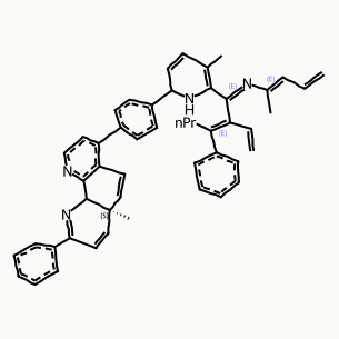 C=C/C=C(C)/N=C(C1=C(C)C=CC(c2ccc(-c3ccnc4c3C=C[C@@]3(C)C=CC(c5ccccc5)=NC43)cc2)N1)\C(C=C)=C(/CCC)c1ccccc1